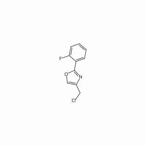 Fc1ccccc1-c1nc(CCl)co1